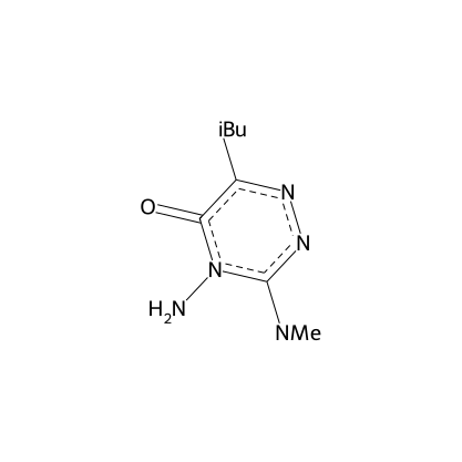 CCC(C)c1nnc(NC)n(N)c1=O